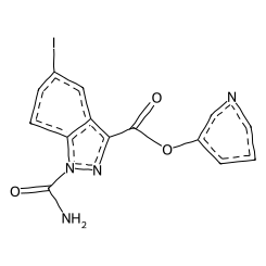 NC(=O)n1nc(C(=O)Oc2cccnc2)c2cc(I)ccc21